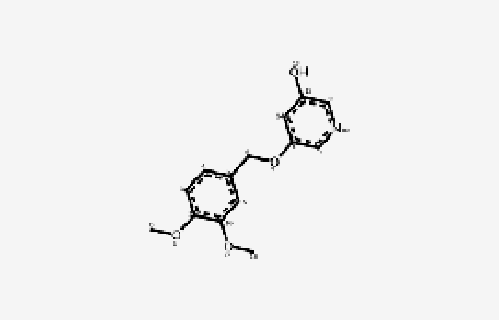 COc1ccc(COc2cncc(O)c2)cc1OC